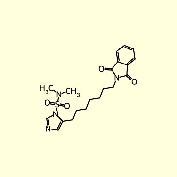 CN(C)S(=O)(=O)n1cncc1CCCCCCCN1C(=O)c2ccccc2C1=O